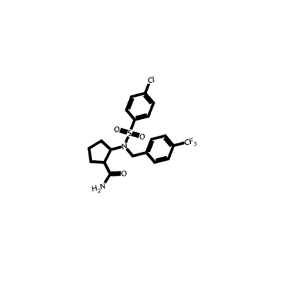 NC(=O)C1CCCC1N(Cc1ccc(C(F)(F)F)cc1)S(=O)(=O)c1ccc(Cl)cc1